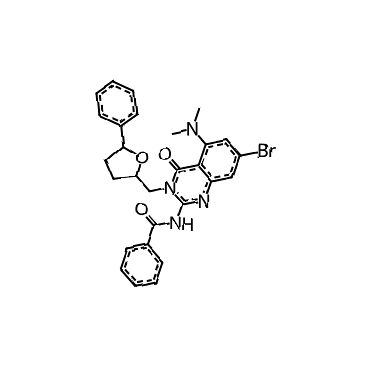 CN(C)c1cc(Br)cc2nc(NC(=O)c3ccccc3)n(CC3CCC(c4ccccc4)O3)c(=O)c12